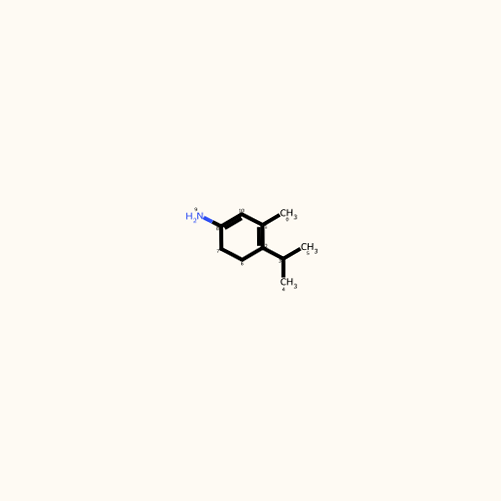 CC1=C(C(C)C)CCC(N)=C1